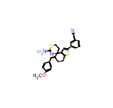 COc1ccc(CC2CCc3sc(-c4cccc(C#N)c4)cc3C23CCSC(N)=N3)cc1